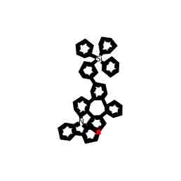 c1ccc([Si](c2ccccc2)(c2ccccc2)c2cccc(-c3ccc4c(c3)-c3cccc(-n5c6ccccc6c6ccccc65)c3-c3ccccc3-c3ccccc3-4)c2)cc1